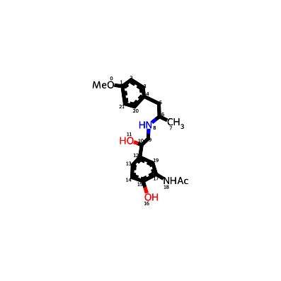 COc1ccc(CC(C)NCC(O)c2ccc(O)c(NC(C)=O)c2)cc1